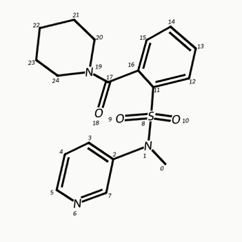 CN(c1cccnc1)S(=O)(=O)c1ccccc1C(=O)N1CCCCC1